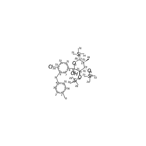 Cc1ccc(Cc2cc(C3(O)O[C@H]([Si](C)(C)C)[C@@H](C)[C@H](O[Si](C)(C)C)[C@H]3O[Si](C)(C)C)ccc2Cl)cc1